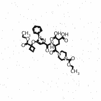 CCOC(=O)N1CCN(C(=O)C(CC(C(=O)O)C(=O)O)NC(=O)c2cc(OC3(C(=O)OCC)CCC3)n(-c3ccccc3)n2)CC1